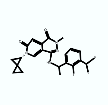 CC(Nc1nn(C)c(=O)c2cc(=O)n([C@H]3CC34CC4)cc12)c1cccc(C(F)F)c1F